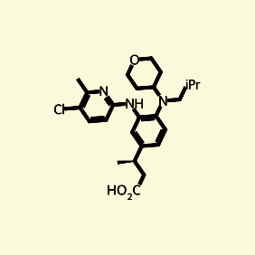 Cc1nc(Nc2cc([C@H](C)CC(=O)O)ccc2N(CC(C)C)C2CCOCC2)ccc1Cl